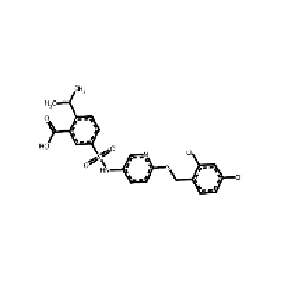 CC(C)c1ccc(S(=O)(=O)Nc2ccc(SCc3ccc(Cl)cc3Cl)nc2)cc1C(=O)O